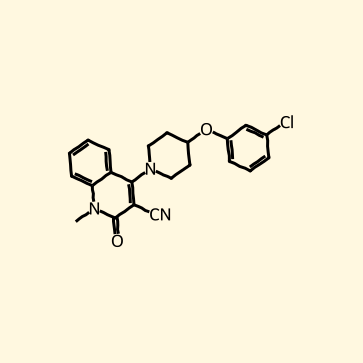 Cn1c(=O)c(C#N)c(N2CCC(Oc3cccc(Cl)c3)CC2)c2ccccc21